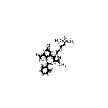 Cc1nn(COCC[Si](C)(C)C)c2c1NC(c1c(F)cccc1F)Nc1c-2cc(Cl)nc1C(F)F